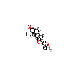 CC(=O)CCC(=O)C1CCC2C3CCC4=CC(=O)CCC4(C)C3=CCC12C